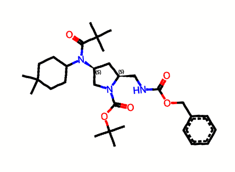 CC1(C)CCC(N(C(=O)C(C)(C)C)[C@H]2C[C@@H](CNC(=O)OCc3ccccc3)N(C(=O)OC(C)(C)C)C2)CC1